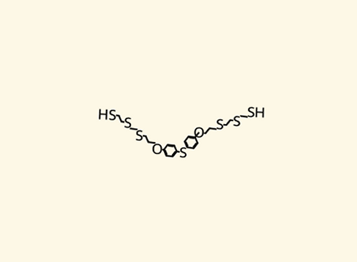 SCCSCCSCCCOc1ccc(Sc2ccc(OCCCSCCSCCS)cc2)cc1